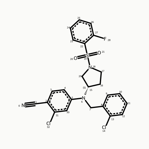 N#Cc1ccc(N(Cc2ccccc2Cl)[C@H]2CCN(S(=O)(=O)c3ccccc3F)C2)cc1Cl